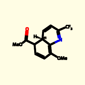 COC(=O)C1C=CC(OC)=C2N=C(C(F)(F)F)C=C[C@@H]21